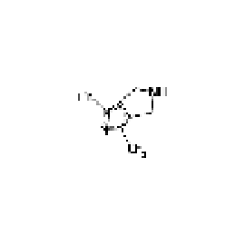 CC(C)n1nc(C(F)(F)F)c2c1CNC2